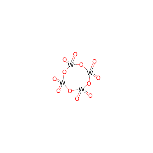 [O]=[W]1(=[O])[O][W](=[O])(=[O])[O][W](=[O])(=[O])[O][W](=[O])(=[O])[O]1